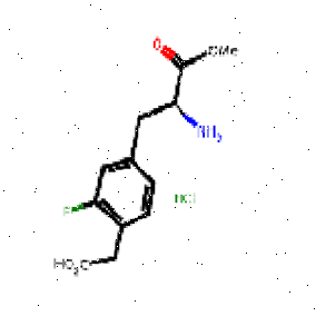 COC(=O)[C@@H](N)Cc1ccc(CC(=O)O)c(F)c1.Cl